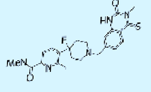 CNC(=O)c1ccc(C2(F)CCN(Cc3ccc4c(=S)n(C)c(=O)[nH]c4c3)CC2)c(C)n1